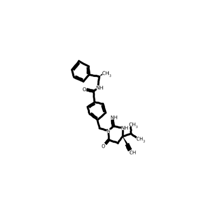 C#C[C@@]1(C(C)C)CC(=O)N(Cc2ccc(C(=O)N[C@@H](C)c3ccccc3)cc2)C(=N)N1